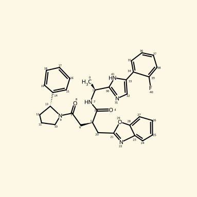 C[C@H](NC(=O)[C@H](CC(=O)N1CCC[C@@H]1c1ccccc1)Cc1nc2ccccc2o1)c1ncc(-c2ccccc2F)[nH]1